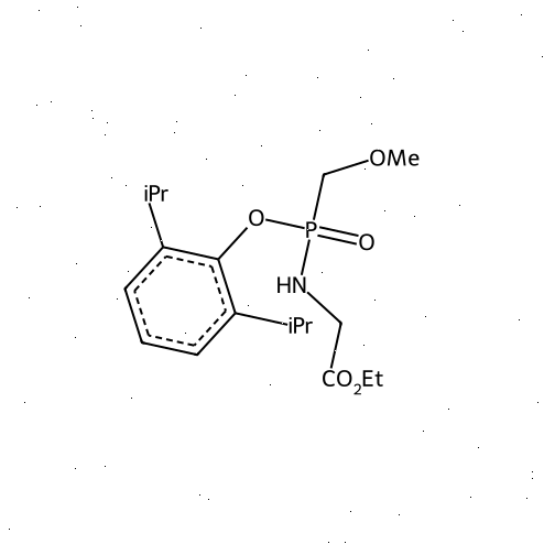 CCOC(=O)CNP(=O)(COC)Oc1c(C(C)C)cccc1C(C)C